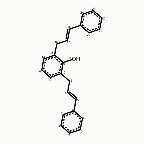 Oc1c(C/C=C/c2ccccc2)cccc1C/C=C/c1ccccc1